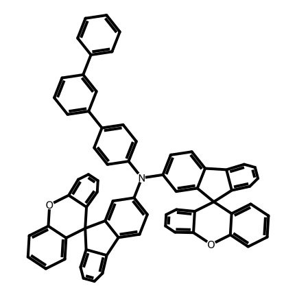 c1ccc(-c2cccc(-c3ccc(N(c4ccc5c(c4)C4(c6ccccc6Oc6ccccc64)c4ccccc4-5)c4ccc5c(c4)C4(c6ccccc6Oc6ccccc64)c4ccccc4-5)cc3)c2)cc1